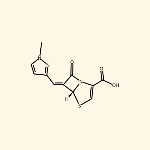 Cn1ccc(C=C2C(=O)N3C(C(=O)O)=CS[C@H]23)n1